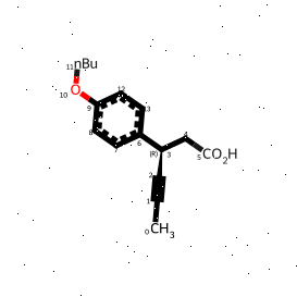 CC#C[C@H](CC(=O)O)c1ccc(OCCCC)cc1